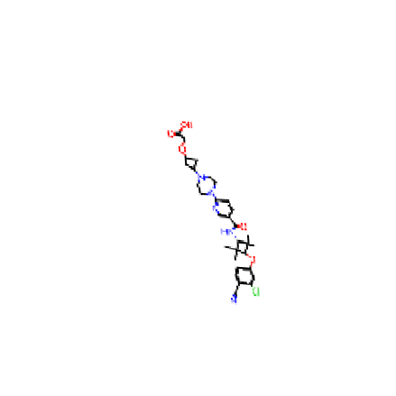 CC1(C)[C@H](NC(=O)c2ccc(N3CCN(C4CC(OCC(=O)O)C4)CC3)nc2)C(C)(C)[C@H]1Oc1ccc(C#N)c(Cl)c1